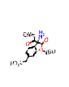 COC(=O)C(N)(C(=O)OC(C)(C)C)c1ccc(CC(=O)O)cc1